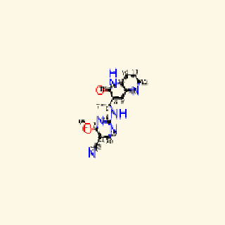 COc1nc(N[C@@H](C)c2cc3ncccc3[nH]c2=O)ncc1C#N